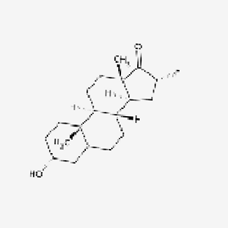 C[C@]12CC[C@@H](O)CC1CC[C@@H]1[C@@H]2CC[C@]2(C)C(=O)[C@H](F)C[C@@H]12